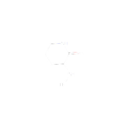 O=CNC1CCCNC1=O